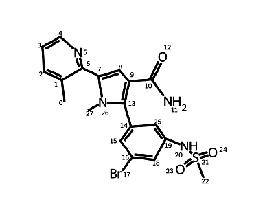 Cc1cccnc1-c1cc(C(N)=O)c(-c2cc(Br)cc(NS(C)(=O)=O)c2)n1C